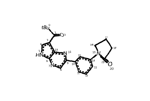 CC(C)(C)C(=O)c1c[nH]c2ncc(-c3cccc(N4CCCC4=O)c3)nc12